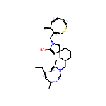 C=CC1=C/C(C)/N=C\N(CC2CCCC3(C=C(O)N(C/C4=C/S/C=C\C=C/C4=C)C3)C2)\C(C)=C\1